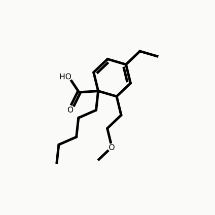 CCCCCC1(C(=O)O)C=CC(CC)=CC1CCOC